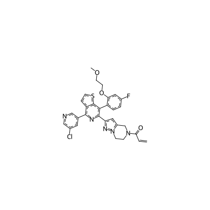 C=CC(=O)N1CCn2nc(-c3nc(-c4cncc(Cl)c4)c4ccsc4c3-c3ccc(F)cc3OCCOC)cc2C1